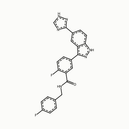 O=C(NCc1ccc(F)cc1)c1cc(-c2n[nH]c3ccc(-c4nc[nH]n4)cc23)ccc1F